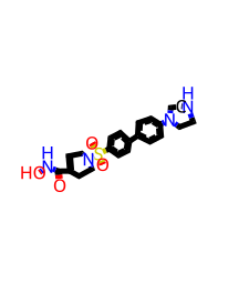 O=C(NO)C1=CCN(S(=O)(=O)c2ccc(-c3ccc(N4CCNCC4)cc3)cc2)CC1